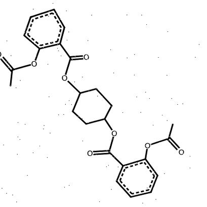 CC(=O)Oc1ccccc1C(=O)OC1CCC(OC(=O)c2ccccc2OC(C)=O)CC1